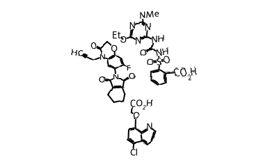 C#CCN1C(=O)COc2cc(F)c(N3C(=O)C4=C(CCCC4)C3=O)cc21.CCOc1nc(NC)nc(NC(=O)NS(=O)(=O)c2ccccc2C(=O)O)n1.O=C(O)COc1ccc(Cl)c2cccnc12